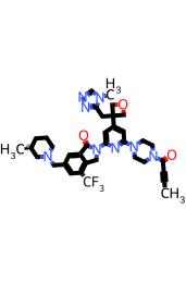 CC#CC(=O)N1CCN(c2cc(C3(Cc4nncn4C)COC3)cc(N3Cc4c(cc(CN5CCC[C@H](C)C5)cc4C(F)(F)F)C3=O)n2)CC1